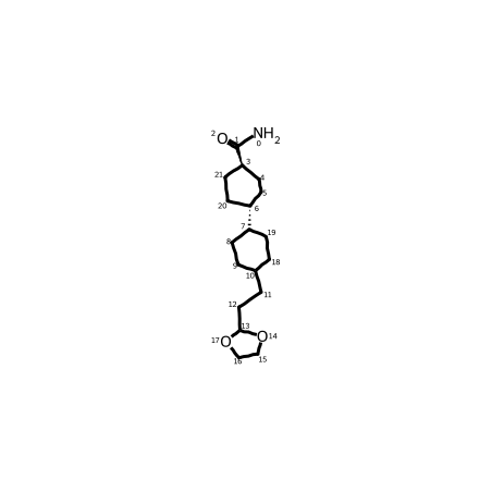 NC(=O)[C@H]1CC[C@H](C2CCC(CCC3OCCO3)CC2)CC1